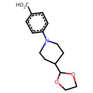 O=C(O)c1ccc(N2CCC(C3OCCO3)CC2)cc1